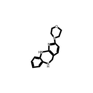 c1ccc2c(c1)NCc1ccc(N3CCOCC3)nc1N2